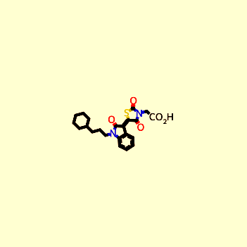 O=C(O)CN1C(=O)S/C(=C2\C(=O)N(CCCC3CCCCC3)c3ccccc32)C1=O